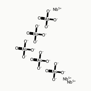 O=[As]([O-])([O-])[O-].O=[As]([O-])([O-])[O-].O=[As]([O-])([O-])[O-].O=[As]([O-])([O-])[O-].O=[As]([O-])([O-])[O-].[Nb+5].[Nb+5].[Nb+5]